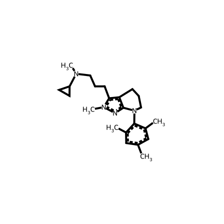 Cc1cc(C)c(N2CCCc3c2nn(C)c3CCCN(C)C2CC2)c(C)c1